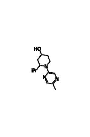 Cc1cnc(N2CCC(O)CC2C(C)C)cn1